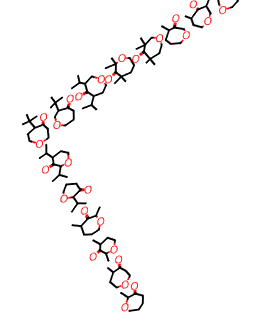 CC(C)(C)C1CCOCCC1=O.CC(C)(C)C1COCCCC1=O.CC(C)C1CCOC(C(C)C)C1=O.CC(C)C1CCOCC(C(C)C)C1=O.CC(C)C1OCCCC1=O.CC1(C)CCCOC(C)(C)C1=O.CC1(C)CCOCC(C)(C)C1=O.CC1CCCOC(C)C1=O.CC1CCCOCC1=O.CC1CCOC(C)C1=O.CC1CCOCC(C)C1=O.CC1CCOCCC1=O.CC1COCCCC1=O.CC1OCCCCC1=O